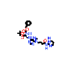 CC(C)(C)OC(=O)[C@H](CNc1ncnc2c1ncn2CCCC(=O)NC1=NCCCN1)NC(=O)OCc1ccccc1